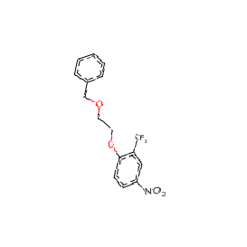 O=[N+]([O-])c1ccc(OCCOCc2ccccc2)c(C(F)(F)F)c1